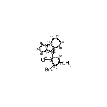 Cc1cc(Br)c(Cl)c(-n2c3ccccc3n3cccc23)c1